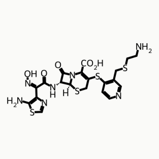 NCCSCc1cnccc1SC1=C(C(=O)O)N2C(=O)[C@@H](NC(=O)/C(=N\O)c3ncsc3N)[C@@H]2SC1